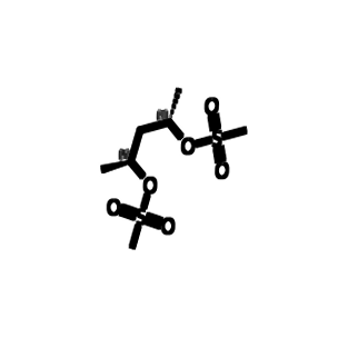 C[C@@H](C[C@H](C)OS(C)(=O)=O)OS(C)(=O)=O